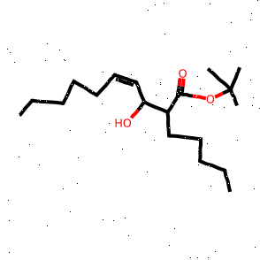 CCCCC/C=C\C(O)C(CCCCC)C(=O)OC(C)(C)C